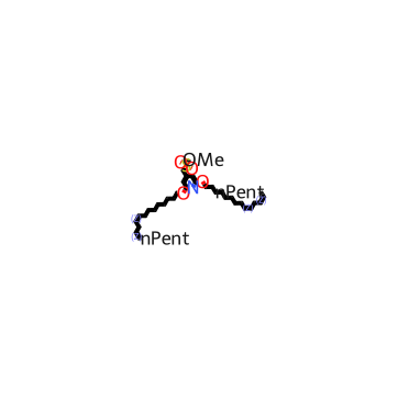 CCCCC/C=C\C/C=C\CCCCCCCCOc1cc(CS(=O)(=O)OC)cc(OCCCCCCCC/C=C\C/C=C\CCCCC)n1